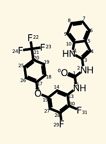 O=C(Nc1cc2ccccc2[nH]1)Nc1cc(Oc2ccc(C(F)(F)F)cc2)cc(F)c1F